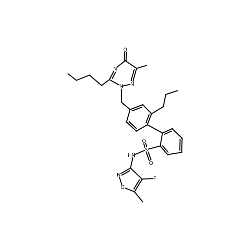 CCCCc1nc(=O)c(C)nn1Cc1ccc(-c2ccccc2S(=O)(=O)Nc2noc(C)c2F)c(CCC)c1